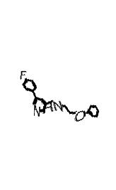 Fc1ccc(-c2cncc(CNCCCOc3ccccc3)c2)cc1